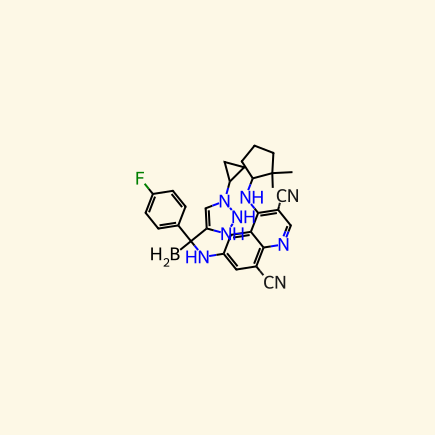 BC(Nc1cc(C#N)c2ncc(C#N)c(NC3CCCC3(C)C)c2c1)(C1=CN(C2CC2)NN1)c1ccc(F)cc1